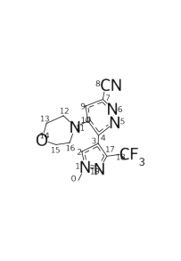 Cn1cc(-c2nnc(C#N)cc2N2CCOCC2)c(C(F)(F)F)n1